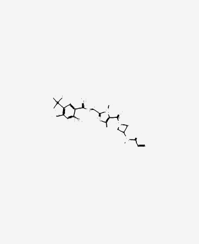 C=CC(=O)N(C)C1CN(C(=O)c2c(C)nc(CNC(=N)c3cc(C(C)(C)C)c(Cl)cc3N)n2C)C1